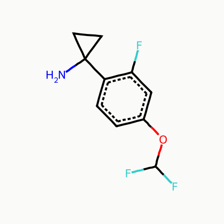 NC1(c2ccc(OC(F)F)cc2F)CC1